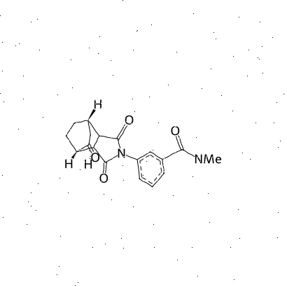 CNC(=O)c1cccc(N2C(=O)C3[C@H]4CC[C@H](C(=O)C4)[C@@H]3C2=O)c1